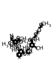 C#Cc1cc(Nc2cc(Oc3ccc(NC(=O)Nc4cc(C(C)(C)C)cc(CC#N)c4OC)c4ccccc34)ccn2)cc(C(=O)NCCOCCOCCOC)c1